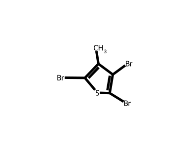 Cc1c(Br)sc(Br)c1Br